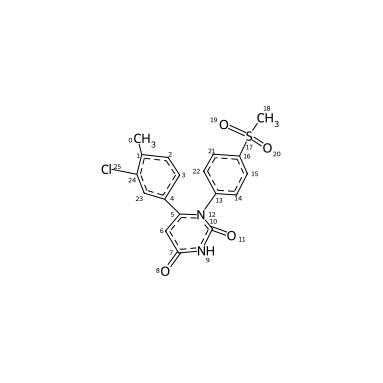 Cc1ccc(-c2cc(=O)[nH]c(=O)n2-c2ccc(S(C)(=O)=O)cc2)cc1Cl